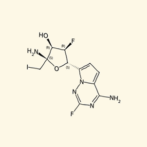 Nc1nc(F)nn2c([C@@H]3O[C@](N)(CI)[C@@H](O)[C@H]3F)ccc12